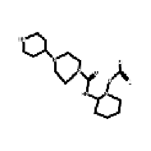 CCC(=O)ON1CCCCC1NC(=O)N1CCN(C2CCNCC2)CC1